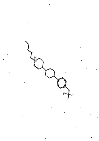 CCCCC[SiH]1CCC(C2CCC(c3ccc(OC(F)(F)F)cc3)CC2)CC1